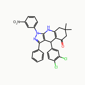 CC1(C)CC(=O)C2=C(C1)Nc1c(c(-c3ccccc3)nn1-c1cccc([N+](=O)[O-])c1)C2c1ccc(Cl)c(Cl)c1